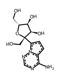 Nc1ncnn2c([C@]3(CO)O[C@H](CO)[C@@H](O)[C@H]3O)ccc12